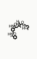 Cc1[nH]c(/C=C2\C(=O)Nc3ccc(C(=O)N[C@H](C)c4ccccc4)cc32)c(C)c1C(=O)NCC1CCC(C)O1